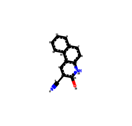 N#Cc1cc2c(ccc3ccccc32)[nH]c1=O